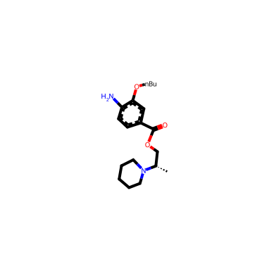 CCCCOc1cc(C(=O)OC[C@H](C)N2CCCCC2)ccc1N